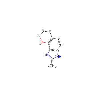 Cc1nc2c3c(ccc2[nH]1)CCCO3